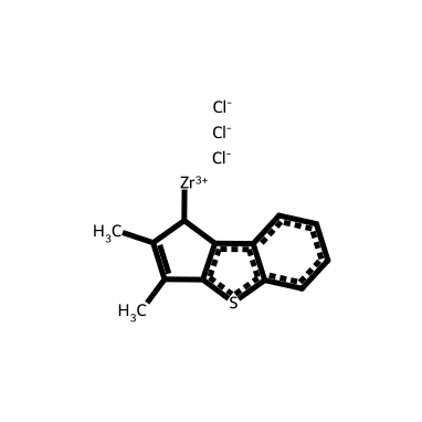 CC1=C(C)[CH]([Zr+3])c2c1sc1ccccc21.[Cl-].[Cl-].[Cl-]